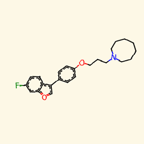 Fc1ccc2c(-c3ccc(OCCCN4CCCCCCC4)cc3)coc2c1